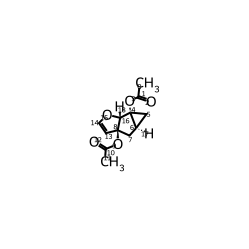 CC(=O)O[C@]12C[C@H]1C[C@]1(OC(C)=O)C=CO[C@H]21